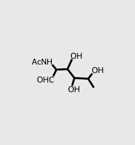 CC(=O)NC(C=O)C(O)C(O)C(C)O